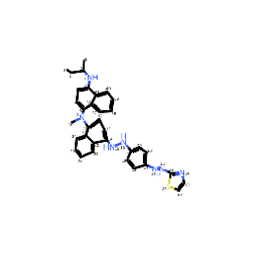 CCC(C)Nc1ccc(N(C)c2ccc(NNc3ccc(/N=N/c4nccs4)cc3)c3ccccc23)c2ccccc12